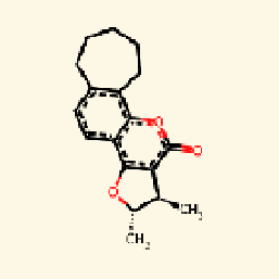 C[C@@H]1Oc2c(c(=O)oc3c4c(ccc23)CCCCC4)[C@H]1C